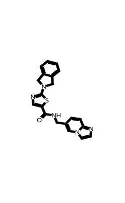 O=C(NCc1ccc2nccn2c1)c1cnc(N2Cc3ccccc3C2)s1